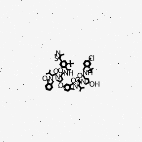 Cc1ncsc1-c1ccc(C(C)NC(=O)C2CC(Oc3ccc4c(c3)C(=O)N(C(C(=O)N3CC(O)CC3C(=O)NCc3ccc(Cl)cc3C(C)(C)C)C(C)C)C4)CN2C(=O)C(C(C)C)N2Cc3ccccc3C2=O)c(C(C)(C)C)c1